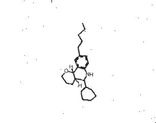 CCCCCc1ccc2c(c1)[C@H]1OCCC[C@H]1C(C1CCCCC1)N2